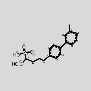 Cc1cccc(-c2ccc(CCCC(P(=O)(O)O)S(=O)(=O)O)cc2)c1